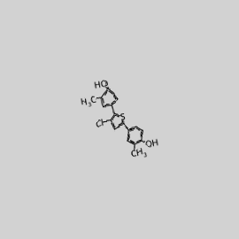 Cc1cc(-c2cc(Cl)c(-c3ccc(O)c(C)c3)s2)ccc1O